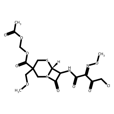 COCC1(C(=O)OCOC(C)=O)CS[C@@H]2C(NC(=O)C(=NOC)C(=O)CCl)C(=O)N2C1